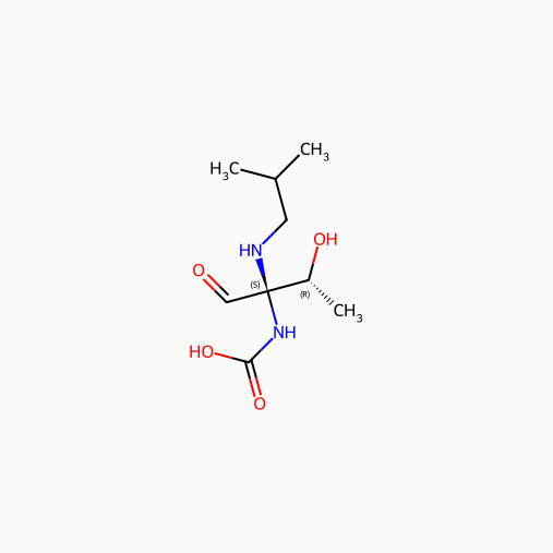 CC(C)CN[C@](C=O)(NC(=O)O)[C@@H](C)O